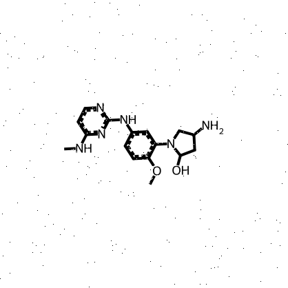 CNc1ccnc(Nc2ccc(OC)c(N3CC(N)CC3O)c2)n1